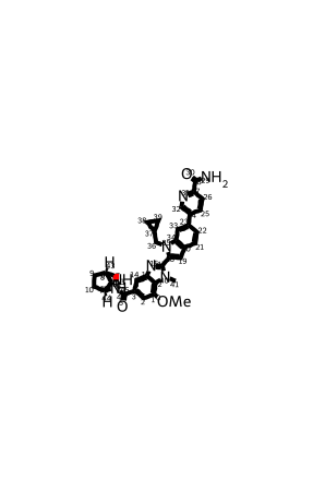 COc1cc(C(=O)N2C[C@H]3CC[C@@H]2[C@@H]3N)cc2nc(-c3cc4ccc(-c5ccc(C(N)=O)nc5)cc4n3CC3CC3)n(C)c12